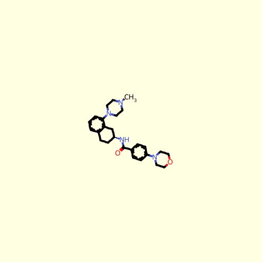 CN1CCN(c2cccc3c2C[C@@H](NC(=O)c2ccc(N4CCOCC4)cc2)CC3)CC1